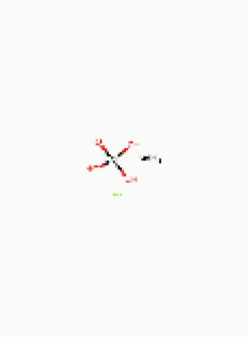 F.O[Si](O)(O)O.[GeH4]